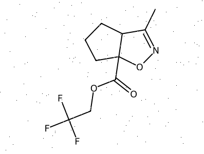 CC1=NOC2(C(=O)OCC(F)(F)F)CCCC12